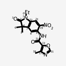 CCN1C(=O)C(C)(C)c2cc(NC(=O)c3ocnc3C)c([N+](=O)[O-])cc21